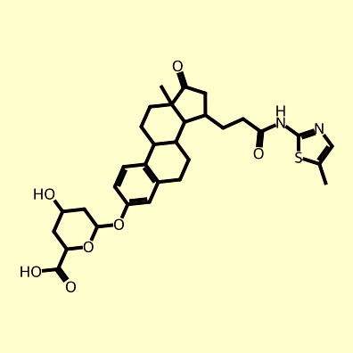 Cc1cnc(NC(=O)CCC2CC(=O)C3(C)CCC4c5ccc(OC6CC(O)CC(C(=O)O)O6)cc5CCC4C23)s1